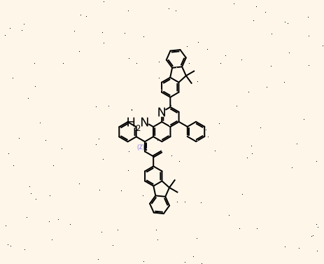 C=C(/C=C(/c1ccccc1)c1ccc2c(-c3ccccc3)cc(-c3ccc4c(c3)C(C)(C)c3ccccc3-4)nc2c1N)c1ccc2c(c1)C(C)(C)c1ccccc1-2